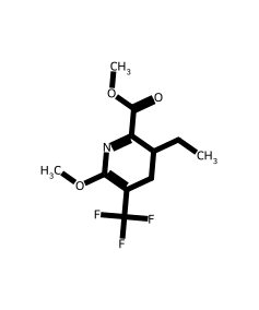 CCC1CC(C(F)(F)F)=C(OC)N=C1C(=O)OC